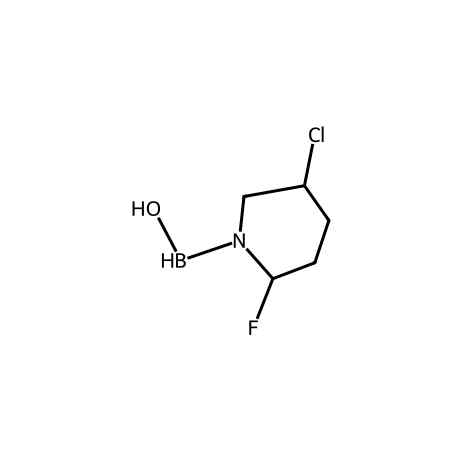 OBN1CC(Cl)CCC1F